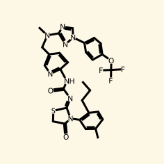 CCCc1ccc(C)cc1N1C(=O)CS/C1=N\C(=O)Nc1ccc(CN(C)c2ncn(-c3ccc(OC(F)(F)F)cc3)n2)cn1